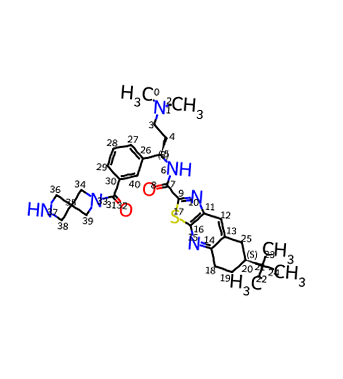 CN(C)CC[C@@H](NC(=O)c1nc2cc3c(nc2s1)CC[C@H](C(C)(C)C)C3)c1cccc(C(=O)N2CC3(CNC3)C2)c1